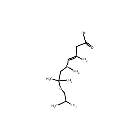 CC(C)COC(C)(C)CN(N)/C=C(\N)CC(=O)O